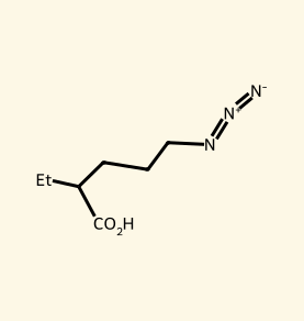 CCC(CCCN=[N+]=[N-])C(=O)O